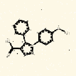 COc1ccc(-n2ncc(C(=O)O)c2-c2ccccc2)cc1